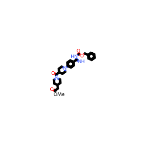 COC(=O)CC1CCN(C(=O)C2CCN(c3ccc(C(=N)NC(=O)OCc4ccccc4)cc3)CC2)CC1